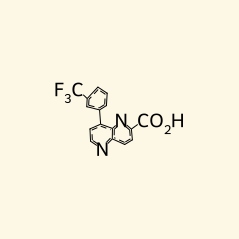 O=C(O)c1ccc2nccc(-c3cccc(C(F)(F)F)c3)c2n1